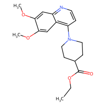 CCOC(=O)C1CCN(c2ccnc3cc(OC)c(OC)cc23)CC1